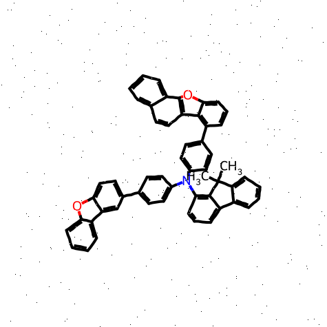 CC1(C)c2ccccc2-c2cccc(N(c3ccc(-c4ccc5oc6ccccc6c5c4)cc3)c3ccc(-c4cccc5oc6c7ccccc7ccc6c45)cc3)c21